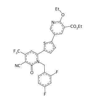 CCOC(=O)c1cc(-c2ccc(-c3cc(C(F)(F)F)c(C#N)c(=O)n3Cc3ccc(F)cc3F)s2)cnc1OCC